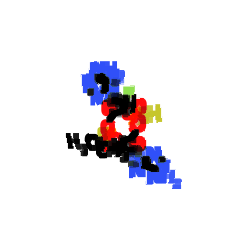 CC(C)SP1(=O)OCC2O[C@@H](n3cnc4c(N)ncnc43)[C@H](F)[C@@H]2OP(=O)(S)OCC2O[C@@H](n3cnc4c(N)ncnc43)C[C@@H]2O1